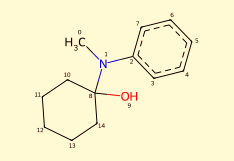 CN(c1ccccc1)C1(O)CCCCC1